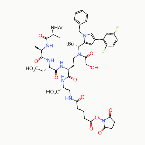 CC(=O)N[C@@H](C)C(=O)N[C@H](C)C(=O)N[C@@H](CC(=O)O)C(=O)N[C@@H](CCN(C(=O)CO)[C@@H](c1cc(-c2cc(F)ccc2F)cn1Cc1ccccc1)C(C)(C)C)C(=O)N[C@H](CNC(=O)CCCC(=O)ON1C(=O)CCC1=O)C(=O)O